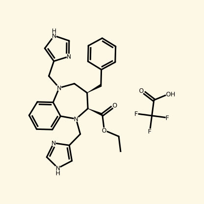 CCOC(=O)[C@@H]1[C@H](Cc2ccccc2)CN(Cc2c[nH]cn2)c2ccccc2N1Cc1c[nH]cn1.O=C(O)C(F)(F)F